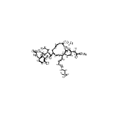 CCOC(=O)C1C/C=C/CC(C(=O)N2CCC[C@@]3(C2)OC(=O)Nc2ccc(Cl)c(F)c23)/C=N/C(=C\N=C/OCC[Si](C)(C)C)c2ccc(NC(=O)OC)cc2N1